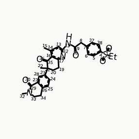 CCS(=O)(=O)c1ccc(CC(=O)Nc2cc(C)c3c(n2)CCC(C)(c2ccc4c(c2)C(=O)N(C)CC4)C3=O)cc1